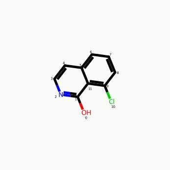 Oc1nccc2cccc(Cl)c12